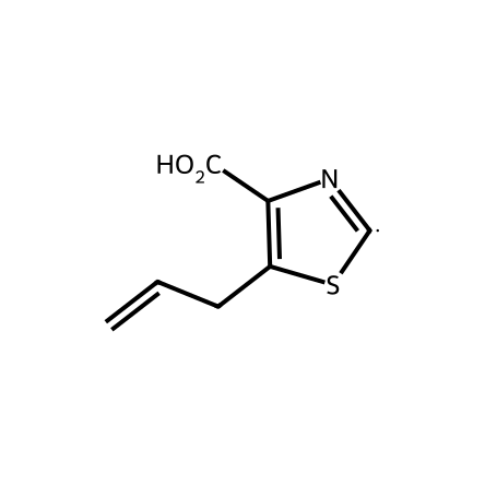 C=CCc1s[c]nc1C(=O)O